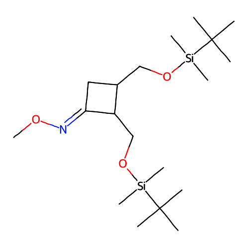 CON=C1CC(CO[Si](C)(C)C(C)(C)C)C1CO[Si](C)(C)C(C)(C)C